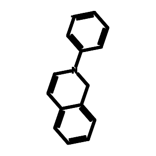 [c]1cccc(N2C=Cc3ccccc3C2)c1